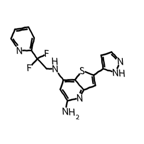 Nc1cc(NCC(F)(F)c2ccccn2)c2sc(-c3ccn[nH]3)cc2n1